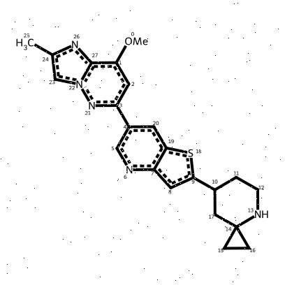 COc1cc(-c2cnc3cc(C4CCNC5(CC5)C4)sc3c2)nn2cc(C)nc12